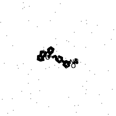 CC(C)C(=O)Nc1cccc(C2CCN(CC[C@H](Oc3cccc4ccccc34)c3ccccc3)CC2)c1